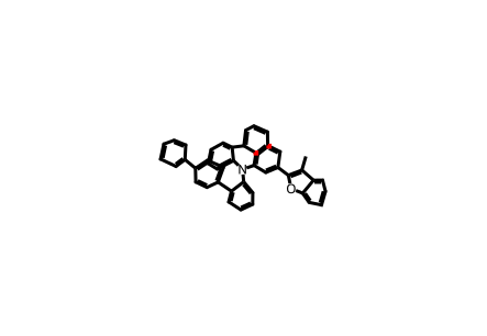 Cc1c(-c2cccc(N(c3ccccc3-c3ccccc3)c3ccccc3-c3ccc(-c4ccccc4)cc3)c2)oc2ccccc12